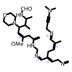 C=NC/C=C(/C=N\CNC(=C)C/C(=C\C(C(C)C(C)NC=O)N1CCOCC1)OC)C/C=C(C)\C=N\CC#CN(C)C